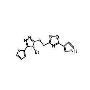 CCn1c(SCc2noc(-c3cc[nH]c3)n2)nnc1-c1cccs1